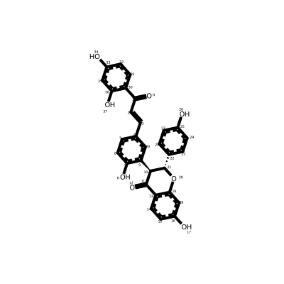 O=C(/C=C/c1ccc(O)c([C@@H]2C(=O)c3ccc(O)cc3O[C@H]2c2ccc(O)cc2)c1)c1ccc(O)cc1O